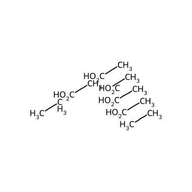 CC.CC.CC(=O)O.CC(=O)O.CC(=O)O.CC(=O)O.CC(=O)O